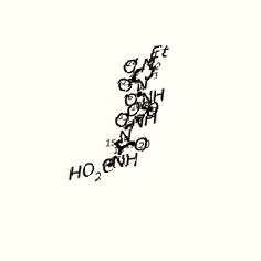 CCN1CCN(C(=O)NS(=O)(=O)NC(=O)N2CC(NC(=O)O)C2=O)C(=O)C1=O